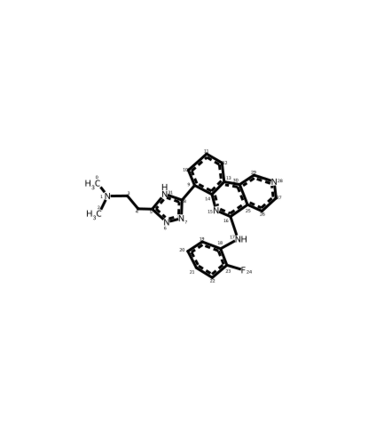 CN(C)CCc1nnc(-c2cccc3c2nc(Nc2ccccc2F)c2ccncc23)[nH]1